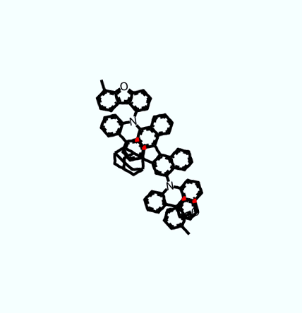 Cc1cccc2c1oc1cccc(N(c3ccccc3-c3ccccc3)c3cc4c(c5ccccc35)-c3c(cc(N(c5ccccc5-c5ccccc5)c5cccc6oc7c(C)cccc7c56)c5ccccc35)C43C4CC5CC(C4)CC3C5)c12